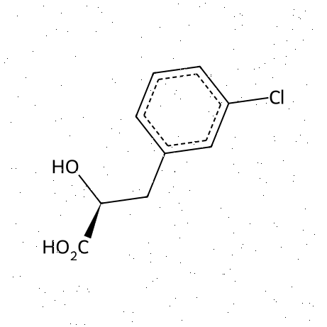 O=C(O)[C@@H](O)Cc1cccc(Cl)c1